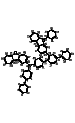 c1ccc(-c2ccc(N(c3ccc(-c4ccc(-c5ccccc5)cc4-c4ccc5c6ccccc6n(-c6ccccc6)c5c4)cc3)c3ccc4oc5ccccc5c4c3)cc2)cc1